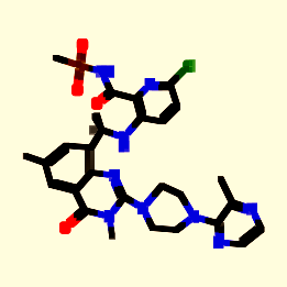 Cc1cc([C@@H](C)Nc2ccc(Cl)nc2C(=O)NS(C)(=O)=O)c2nc(N3CCN(c4nccnc4C)CC3)n(C)c(=O)c2c1